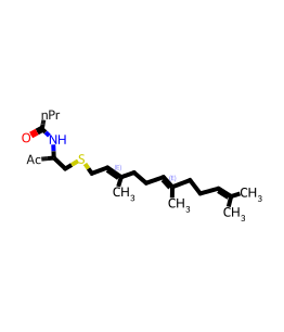 CCCC(=O)NC(CSC/C=C(\C)CC/C=C(\C)CCC=C(C)C)C(C)=O